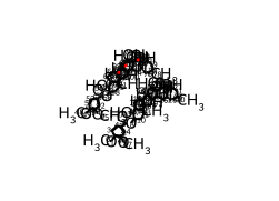 COc1ccc(C(=O)OC2CC[C@@]3(C)C4CC[C@H]5[C@]6(O)C[C@H](O)[C@@]7(O)[C@@H](CN8C[C@@H](C)CC[C@H]8[C@@]7(C)O)[C@]6(O)C[C@@]53O[C@]24O)cc1OC.COc1ccc(C(=O)OC2CC[C@@]3(C)C4CC[C@H]5[C@]6(O)C[C@H](O)[C@@]7(O)[C@@H](CN8C[C@@H](C)CC[C@H]8[C@@]7(C)O)[C@]6(O)C[C@@]53O[C@]24O)cc1OC